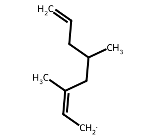 [CH2]C=C(C)CC(C)CC=C